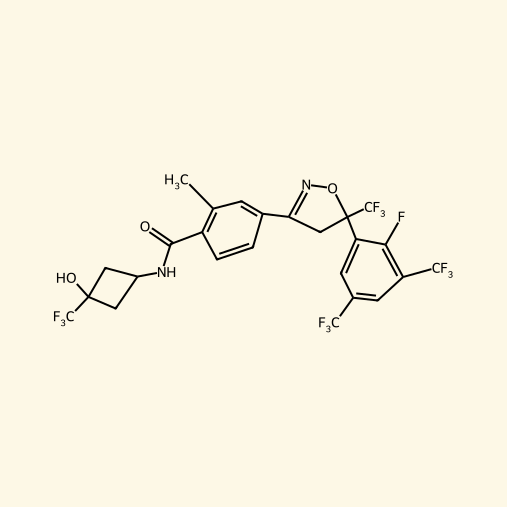 Cc1cc(C2=NOC(c3cc(C(F)(F)F)cc(C(F)(F)F)c3F)(C(F)(F)F)C2)ccc1C(=O)NC1CC(O)(C(F)(F)F)C1